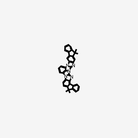 CC1(C)c2ccccc2-c2cc3c(cc21)nc1n3c2cccc3c2n1c1nc2c4c(ccc2n31)C(C)(C)c1ccccc1-4